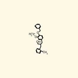 Cc1ccccc1CC(CO)Cc1ccc(OCc2ccccc2)c(O[13CH3])c1